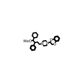 COC(C1CCCCC1)C(CCN1CCN(C2COc3ccccc3O2)CC1)c1ccccc1